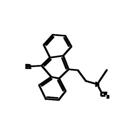 CCc1c2ccccc2c(CCN(C)C(F)(F)F)c2ccccc12